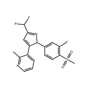 Cc1ncccc1-c1cc(C(F)F)nn1-c1ccc(S(C)(=O)=O)c(F)c1